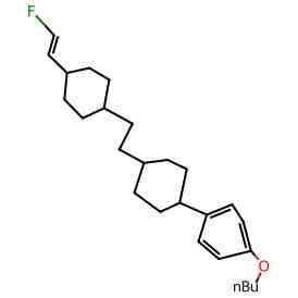 CCCCOc1ccc(C2CCC(CCC3CCC(C=CF)CC3)CC2)cc1